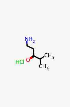 CC(C)C(=O)CCN.Cl